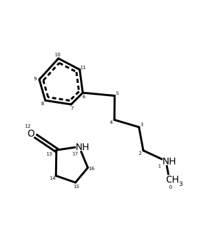 CNCCCCc1ccccc1.O=C1CCCN1